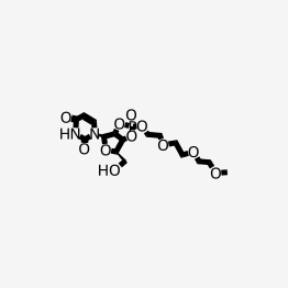 COCCOCCOCCOP1(=O)OC2C(O1)[C@@H](CO)O[C@H]2n1ccc(=O)[nH]c1=O